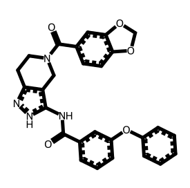 O=C(Nc1[nH]nc2c1CN(C(=O)c1ccc3c(c1)OCO3)CC2)c1cccc(Oc2ccccc2)c1